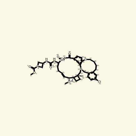 COC(=O)N1CC(NC(=O)NC2[C@@H](C)C/C=C/[C@H](OC)[C@@H]3CC[C@H]3CN3Cc4ccc(Cl)cc4CCCCOc4ccc(cc43)C(=O)/N=[SH]\2=O)C1